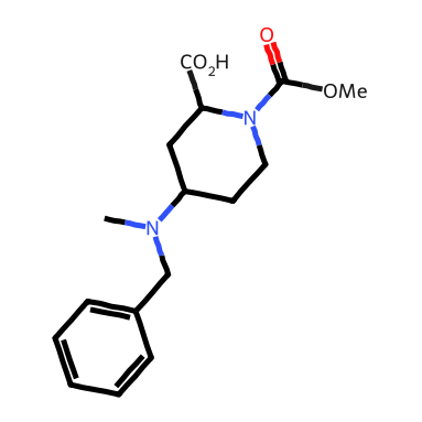 COC(=O)N1CCC(N(C)Cc2ccccc2)CC1C(=O)O